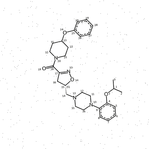 CC(C)Oc1ccccc1N1CCN(C[C@@H]2CC(C(=O)N3CCC(Oc4ccccc4)CC3)=NO2)CC1